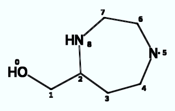 OCC1CC[N]CCN1